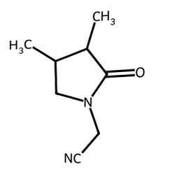 CC1CN(CC#N)C(=O)C1C